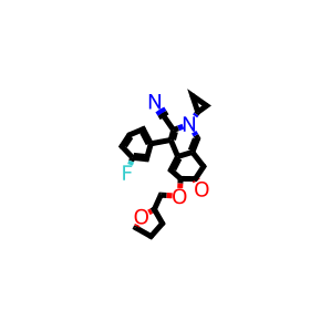 N#CC1=C(c2cccc(F)c2)C2=CC(OCC3CCCO3)C(=O)CC2=CN1C1CC1